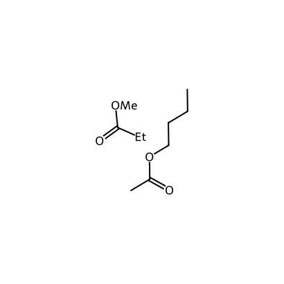 CCC(=O)OC.CCCCOC(C)=O